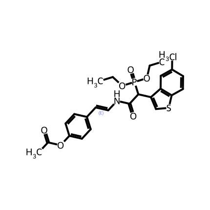 CCOP(=O)(OCC)C(C(=O)N/C=C/c1ccc(OC(C)=O)cc1)c1csc2ccc(Cl)cc12